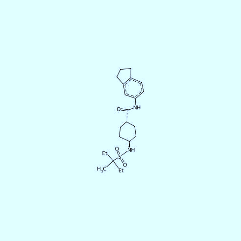 CCC(C)(CC)S(=O)(=O)N[C@H]1CC[C@H](C(=O)Nc2ccc3c(c2)CCC3)CC1